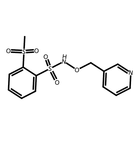 CS(=O)(=O)c1ccccc1S(=O)(=O)NOCc1cccnc1